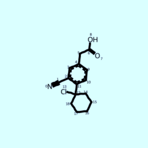 N#Cc1cc(CC(=O)O)ccc1C1(Cl)CCCCC1